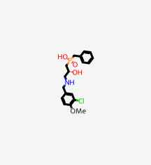 COc1ccc(CNC[C@@H](O)CP(=O)(O)Cc2ccccc2)cc1Cl